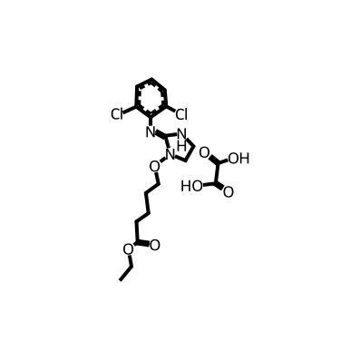 CCOC(=O)CCCCON1CCNC1=Nc1c(Cl)cccc1Cl.O=C(O)C(=O)O